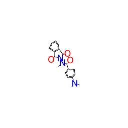 CN(C)c1ccc(C(=O)N(C)N2C(=O)c3ccccc3C2=O)cc1